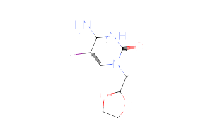 NC1NC(=O)N(CC2OCCO2)C=C1I